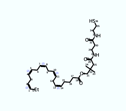 CC/C=C\C/C=C\C/C=C\C/C=C\C/C=C\CCCC(=O)OCC(C)(C)CC(=O)NCCC(=O)NCCS